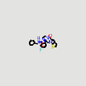 O=C(NCc1ccccc1)N1CCN2C(=O)c3cc4ccsc4n3CC12c1ccc(F)cc1